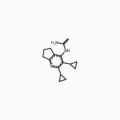 C=C(N)Nc1c2c(nc(C3CC3)c1C1CC1)CCC2